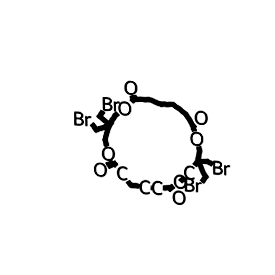 O=C1CCCCC(=O)OCC(CBr)(CBr)COC(=O)CCCCC(=O)OCC(CBr)(CBr)CO1